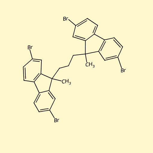 CC1(CCCC2(C)c3cc(Br)ccc3-c3ccc(Br)cc32)c2cc(Br)ccc2-c2ccc(Br)cc21